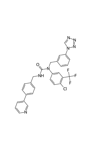 O=C(NCc1ccc(-c2cccnc2)cc1)N(Cc1cccc(-n2cnnn2)c1)c1ccc(Cl)c(C(F)(F)F)c1